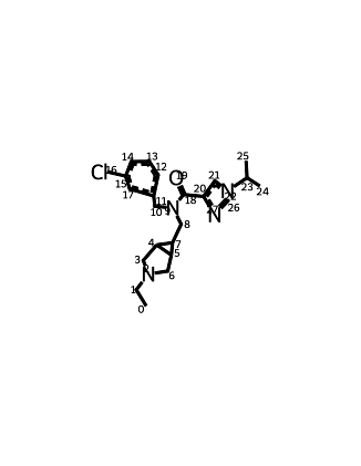 CCN1CC2C(C1)C2CN(Cc1cccc(Cl)c1)C(=O)c1cn(C(C)C)cn1